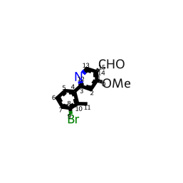 COc1cc(-c2cccc(Br)c2C)ncc1C=O